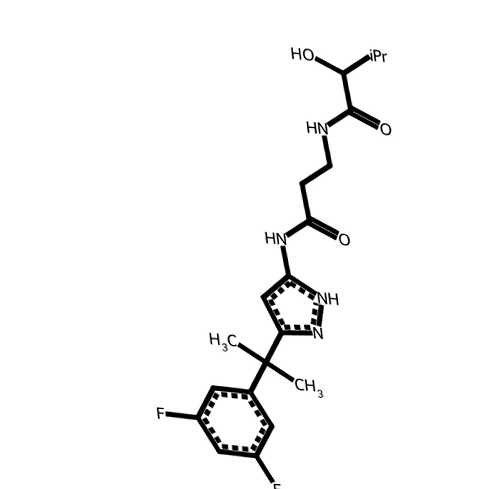 CC(C)C(O)C(=O)NCCC(=O)Nc1cc(C(C)(C)c2cc(F)cc(F)c2)n[nH]1